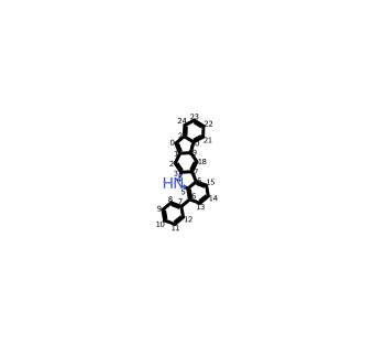 C1=C2C=c3[nH]c4c(-c5ccccc5)cccc4c3=CC2c2ccccc21